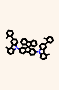 Cc1ccccc1-c1ccc2c(c1)c1c(C)cccc1n2-c1ccc2c(c1)C1(c3ccccc3-c3ccccc31)c1cc(-n3c4ccc(-c5ccccc5C)cc4c4c(C)cccc43)ccc1-2